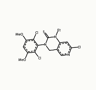 CCN1C(=S)N(c2c(Cl)c(OC)cc(OC)c2Cl)Cc2cnc(Cl)cc21